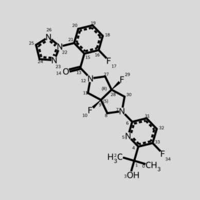 CC(C)(O)c1nc(N2C[C@]3(F)CN(C(=O)c4c(F)cccc4-n4nccn4)C[C@]3(F)C2)ccc1F